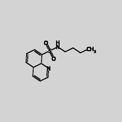 CCCCNS(=O)(=O)C1=CC=CC2C=CC=NC12